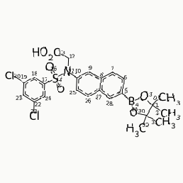 CC1(C)OB(c2ccc3cc(N(CC(=O)O)S(=O)(=O)c4cc(Cl)cc(Cl)c4)ccc3c2)OC1(C)C